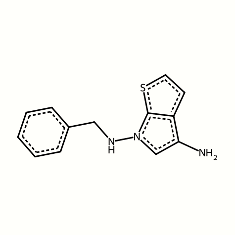 Nc1cn(NCc2ccccc2)c2sccc12